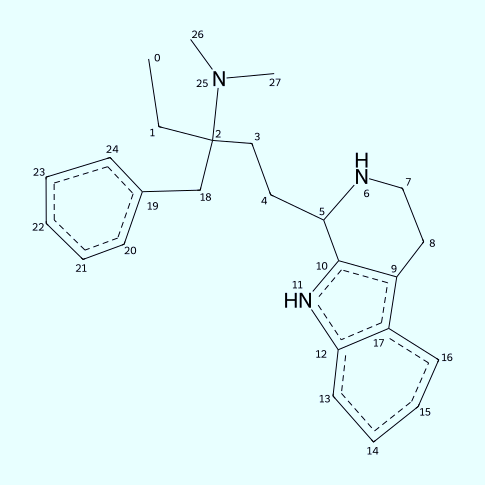 CCC(CCC1NCCc2c1[nH]c1ccccc21)(Cc1ccccc1)N(C)C